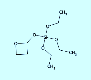 CCO[Si](OCC)(OCC)OC1CCO1